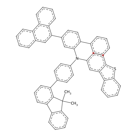 CC1(C)c2ccccc2-c2cccc(-c3ccc(N(c4ccc5sc6ccccc6c5c4)c4cc(-c5cc6ccccc6c6ccccc56)ccc4-c4ccccc4)cc3)c21